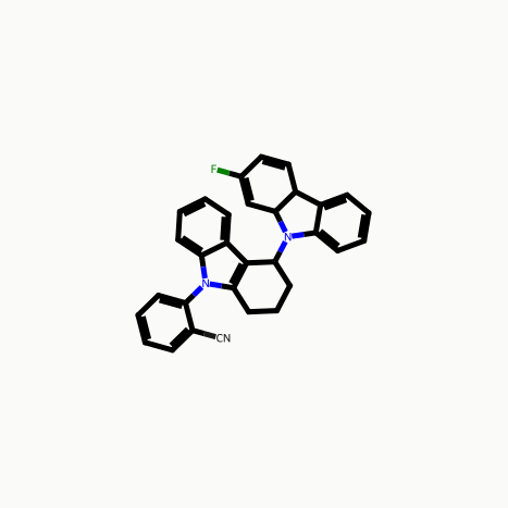 N#Cc1ccccc1-n1c2c(c3ccccc31)C(N1c3ccccc3C3C=CC(F)=CC31)CCC2